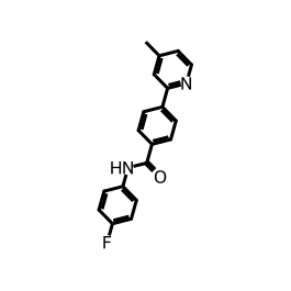 Cc1ccnc(-c2ccc(C(=O)Nc3ccc(F)cc3)cc2)c1